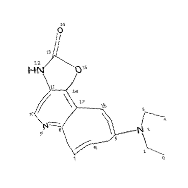 CCN(CC)c1ccc2ncc3[nH]c(=O)oc3c2c1